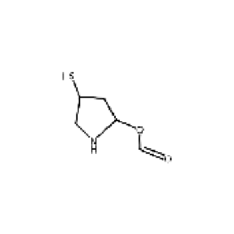 O=COC1CC(S)CN1